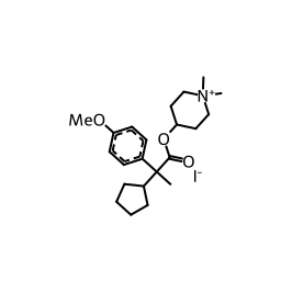 COc1ccc(C(C)(C(=O)OC2CC[N+](C)(C)CC2)C2CCCC2)cc1.[I-]